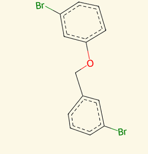 Brc1cccc(COc2cccc(Br)c2)c1